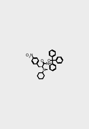 CN(C1CCCCC1)[C@@H](Cc1ccc([N+](=O)[O-])cc1)C(=O)NOC(c1ccccc1)(c1ccccc1)c1ccccc1